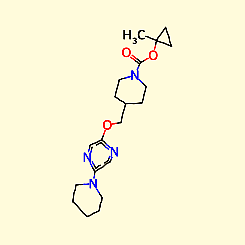 CC1(OC(=O)N2CCC(COc3cnc(N4CCCCC4)cn3)CC2)CC1